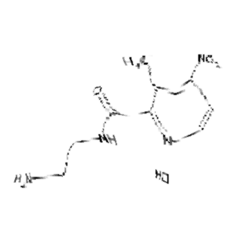 Cc1c([N+](=O)[O-])ccnc1C(=O)NCCN.Cl